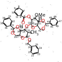 CO[C@@H]1C(OC(=O)c2ccccc2)[C@H](O[C@@H]2C(C)[C@H](OCc3ccccc3)OC3COC(c4ccccc4)O[C@H]32)OC2COC(c3ccccc3)O[C@H]21